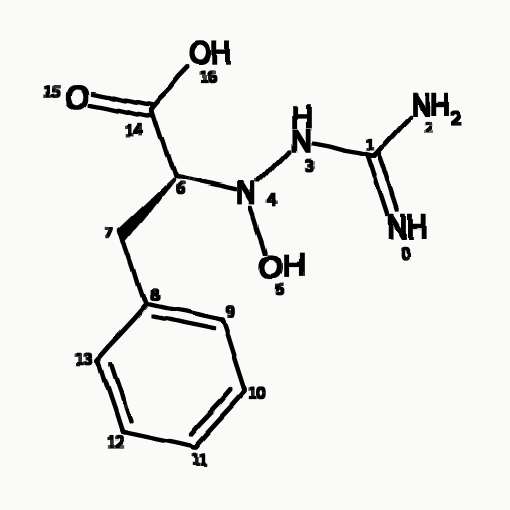 N=C(N)NN(O)[C@@H](Cc1ccccc1)C(=O)O